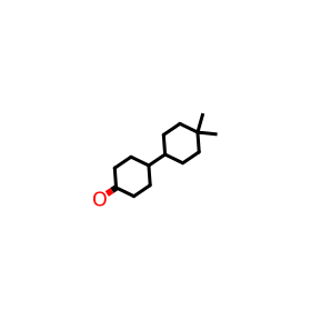 CC1(C)CCC(C2CCC(=O)CC2)CC1